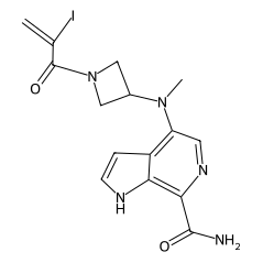 C=C(I)C(=O)N1CC(N(C)c2cnc(C(N)=O)c3[nH]ccc23)C1